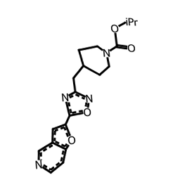 CC(C)OC(=O)N1CCC(Cc2noc(-c3cc4cnccc4o3)n2)CC1